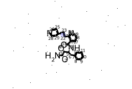 NC(=O)C(=O)C(Cc1ccccc1)NC(=O)c1cccnc1/C=C/c1ccncc1